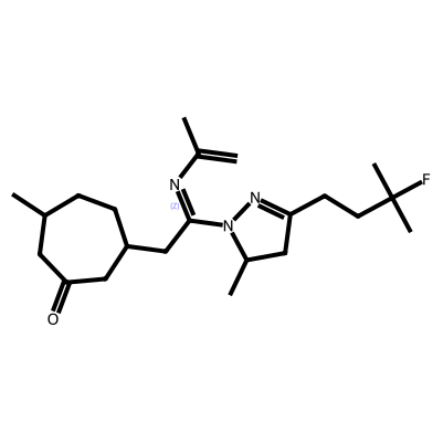 C=C(C)/N=C(/CC1CCC(C)CC(=O)C1)N1N=C(CCC(C)(C)F)CC1C